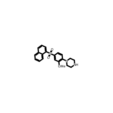 COc1cc(S(=O)(=O)c2cccc3ccccc23)ccc1N1CCNCC1